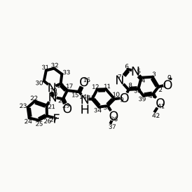 COc1cc2ncnc(Oc3ccc(NC(=O)c4c5n(n(-c6ccccc6F)c4=O)CCCC5)cc3OC)c2cc1OC